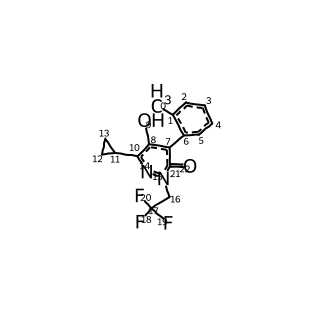 Cc1ccccc1-c1c(O)c(C2CC2)nn(CC(F)(F)F)c1=O